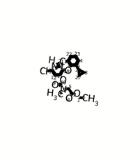 CCOC(=O)CN(C)C(=O)Oc1cc(Cl)nnc1Oc1c(C)cccc1C1CC1